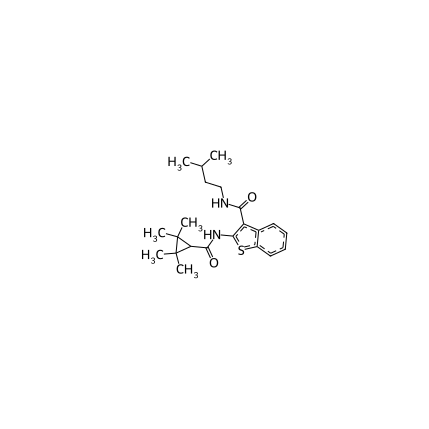 CC(C)CCNC(=O)c1c(NC(=O)C2C(C)(C)C2(C)C)sc2ccccc12